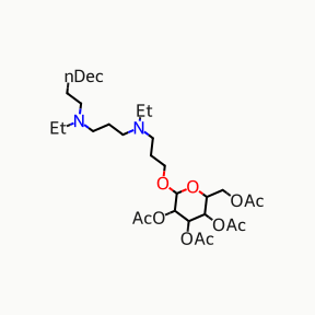 CCCCCCCCCCCCN(CC)CCCN(CC)CCCOC1OC(COC(C)=O)C(OC(C)=O)C(OC(C)=O)C1OC(C)=O